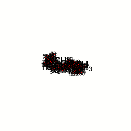 CC1O[C@@H](OCC2O[C@@H](OC3CCC4(C)C(CCC5C4CCC4(C)C5CC(=O)C4[C@H](C)C(=O)CC[C@H](C)CO[C@@H]4OC(COC(=O)c5ccccc5)[C@H](OC(=O)c5ccccc5)C(OC(=O)c5ccccc5)C4OC(=O)c4ccccc4)C3)C(OC(=O)c3ccccc3)C(OC(=O)c3ccccc3)[C@H]2OC(=O)c2ccccc2)C(OC(=O)c2ccccc2)C(OC(=O)c2ccccc2)[C@H]1OC(=O)c1ccccc1